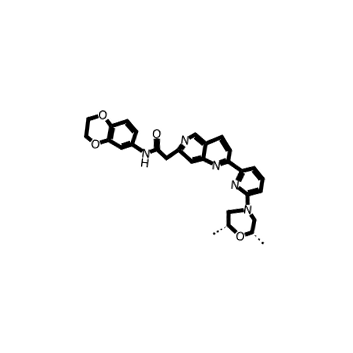 C[C@@H]1CN(c2cccc(-c3ccc4cnc(CC(=O)Nc5ccc6c(c5)OCCO6)cc4n3)n2)C[C@H](C)O1